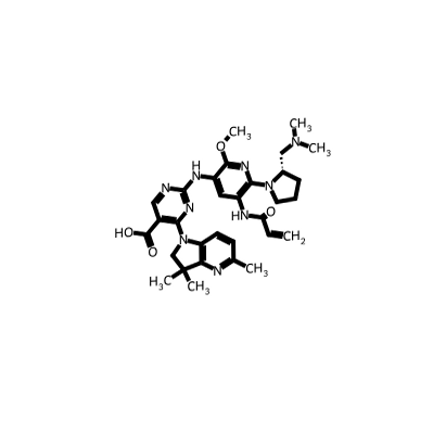 C=CC(=O)Nc1cc(Nc2ncc(C(=O)O)c(N3CC(C)(C)c4nc(C)ccc43)n2)c(OC)nc1N1CCC[C@H]1CN(C)C